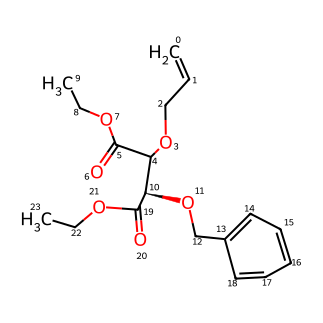 C=CCOC(C(=O)OCC)[C@@H](OCc1ccccc1)C(=O)OCC